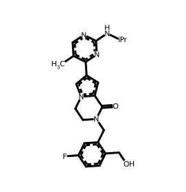 Cc1cnc(NC(C)C)nc1-c1cc2n(c1)CCN(Cc1cc(F)ccc1CO)C2=O